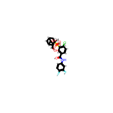 O=C(Nc1ccc(F)c(F)c1)c1ccc(Cl)c(S(=O)(=O)[C@H]2CC3CC(C2)[C@]3(O)[C@H](O)CO)c1